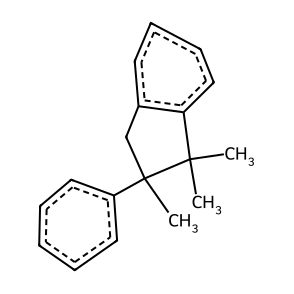 CC1(C)c2ccccc2CC1(C)c1ccccc1